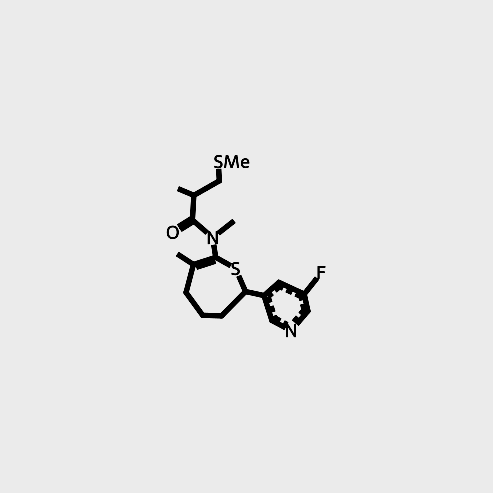 CSCC(C)C(=O)N(C)C1=C(C)CCCC(c2cncc(F)c2)S1